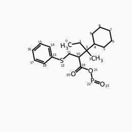 CCC(C)(C1CCCCC1)C(CSc1ccccc1)C(=O)OP=O